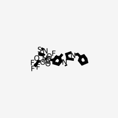 Cc1c(N(C)[C@H]2CCN(Cc3ccccc3)C2)ccc(S(=O)(=O)N(OC(=O)C(F)(F)F)c2cscn2)c1F